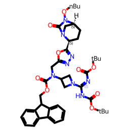 CCCCON1C(=O)N2C[C@@H]1CC[C@H]2c1nnc(CN(C(=O)OCC2c3ccccc3-c3ccccc32)C2CN(/C(=N\C(=O)OC(C)(C)C)NC(=O)OC(C)(C)C)C2)o1